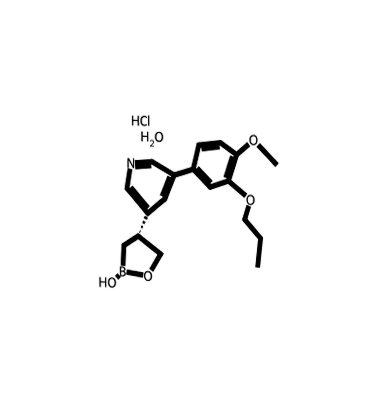 CCCOc1cc(-c2cncc([C@@H]3COB(O)C3)c2)ccc1OC.Cl.O